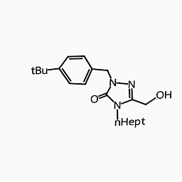 CCCCCCCn1c(CO)nn(Cc2ccc(C(C)(C)C)cc2)c1=O